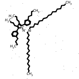 CCCCC1=C(c2cccc(CCCC)c2)[N+](=[N-])C(c2cccc(CCCC)c2)=C1CCCC.CCCCCCCCCCCCCCCC[CH2][Ni][CH2]CCCCCCCCCCCCCCCC